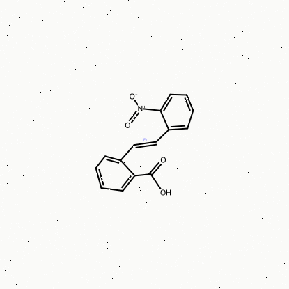 O=C(O)c1ccccc1/C=C/c1ccccc1[N+](=O)[O-]